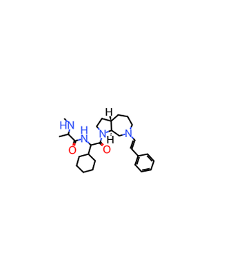 CNC(C)C(=O)NC(C(=O)N1CC[C@@H]2CCCN(C=Cc3ccccc3)C[C@H]21)C1CCCCC1